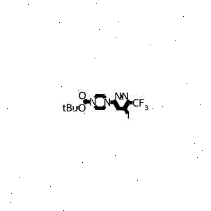 CC(C)(C)OC(=O)N1CCN(c2cc(I)c(C(F)(F)F)nn2)CC1